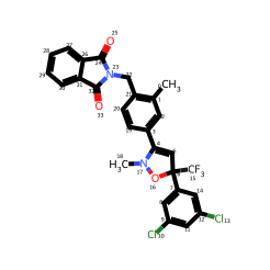 Cc1cc(C2=CC(c3cc(Cl)cc(Cl)c3)(C(F)(F)F)ON2C)ccc1CN1C(=O)c2ccccc2C1=O